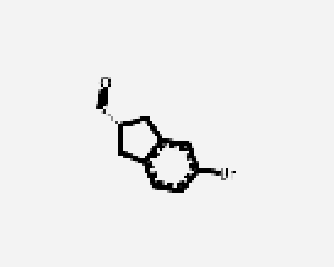 O=C[C@H]1Cc2ccc(Br)cc2C1